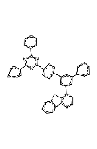 c1ccc(-c2cc(-c3ccc(-c4nc(-c5ccccc5)nc(-c5ccccc5)n4)cc3)cc(-c3cccc4c3Cc3ccccc3-4)c2)cc1